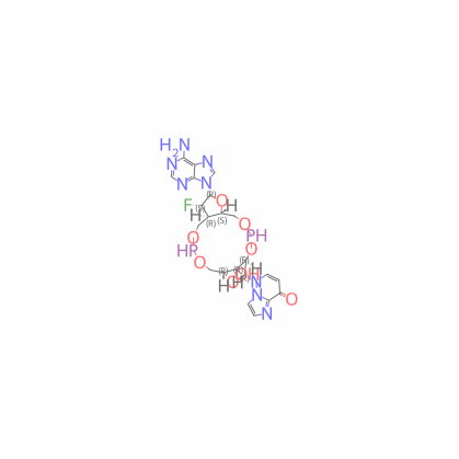 Nc1ncnc2c1ncn2[C@@H]1O[C@@H]2COPO[C@@H]3[C@H](O)[C@@H](COPOC[C@H]2[C@@H]1F)O[C@H]3n1ccc(=O)c2nccn21